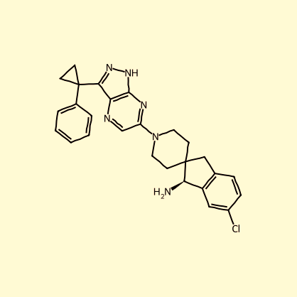 N[C@@H]1c2cc(Cl)ccc2CC12CCN(c1cnc3c(C4(c5ccccc5)CC4)n[nH]c3n1)CC2